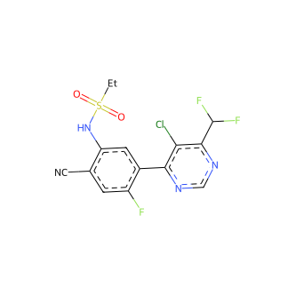 CCS(=O)(=O)Nc1cc(-c2ncnc(C(F)F)c2Cl)c(F)cc1C#N